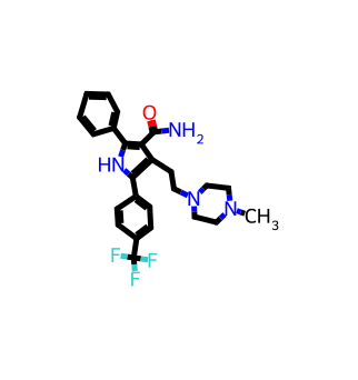 CN1CCN(CCc2c(-c3ccc(C(F)(F)F)cc3)[nH]c(-c3ccccc3)c2C(N)=O)CC1